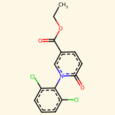 CCOC(=O)c1ccc(=O)n(-c2c(Cl)cccc2Cl)c1